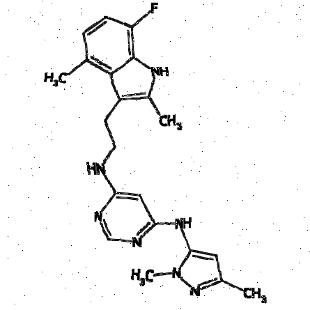 Cc1cc(Nc2cc(NCCc3c(C)[nH]c4c(F)ccc(C)c34)ncn2)n(C)n1